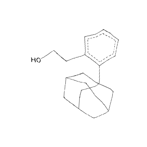 OCCc1ccccc1C12CC3CC(CC(C3)C1)C2